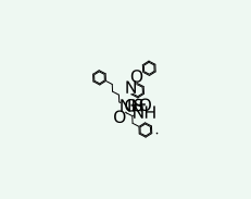 O=C(NCCCCc1ccccc1)C(Cc1cc[c]cc1)NS(=O)(=O)c1ccc(Oc2ccccc2)nc1